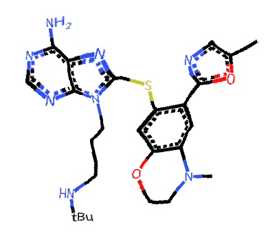 Cc1cnc(-c2cc3c(cc2Sc2nc4c(N)ncnc4n2CCCNC(C)(C)C)OCCN3C)o1